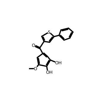 COc1cc(C(=O)c2csc(-c3ccccc3)c2)cc(O)c1O